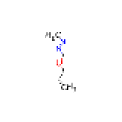 C=CCOCN=NC